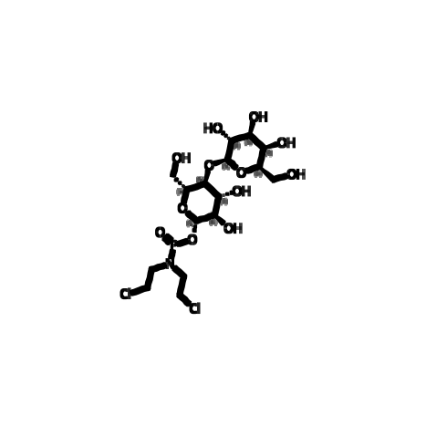 O=[P](O[C@@H]1O[C@H](CO)[C@@H](O[C@@H]2O[C@H](CO)[C@H](O)[C@H](O)[C@H]2O)[C@H](O)[C@H]1O)N(CCCl)CCCl